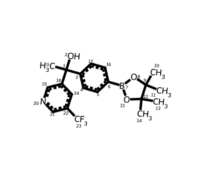 CC(O)(c1ccc(B2OC(C)(C)C(C)(C)O2)cc1)c1cncc(C(F)(F)F)c1